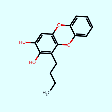 CCCCc1c(O)c(O)cc2c1Oc1ccccc1O2